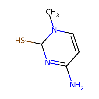 CN1C=CC(N)=NC1S